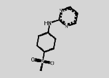 CS(=O)(=O)C1CCC(Nc2ncccn2)CC1